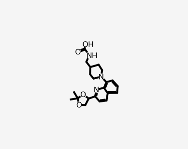 CC1(C)OCC(c2ccc3cccc(N4CCC(CNC(=O)O)CC4)c3n2)O1